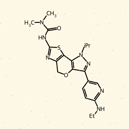 CCNc1ccc(-c2nn(C(C)C)c3c2OCc2nc(NC(=O)N(C)C)sc2-3)cn1